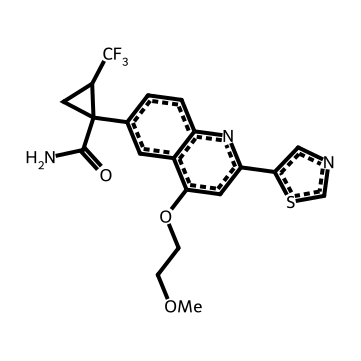 COCCOc1cc(-c2cncs2)nc2ccc(C3(C(N)=O)CC3C(F)(F)F)cc12